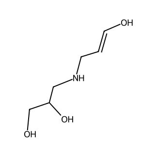 OC=CCNCC(O)CO